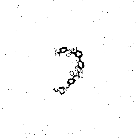 CCN1CCN(Cc2ccc(C(=O)Nc3nc4ccc(-c5cccc(C(=O)Nc6cccc(C(F)(F)F)c6)c5)nc4s3)cc2)CC1